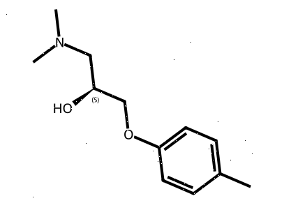 Cc1ccc(OC[C@@H](O)CN(C)C)cc1